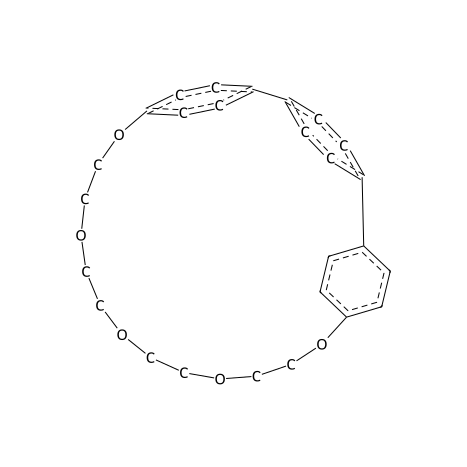 c1cc2ccc1OCCOCCOCCOCCOc1ccc(cc1)-c1ccc-2cc1